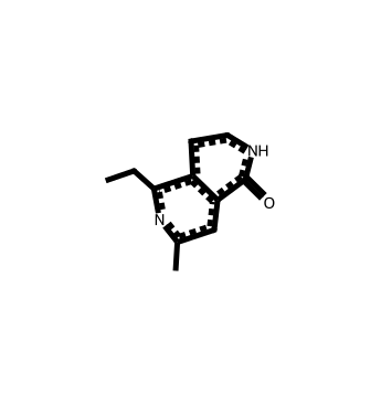 CCc1nc(C)cc2c(=O)[nH]ccc12